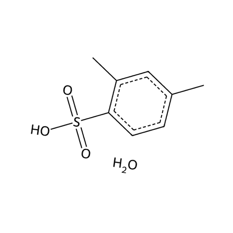 Cc1ccc(S(=O)(=O)O)c(C)c1.O